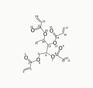 C=CC(=O)OCC(OC(=O)C=C)C(OC(=O)C=C)C(C)OC(=O)C=C